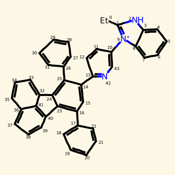 CCc1[nH]c2ccccc2[n+]1-c1ccc(-c2cc(-c3ccccc3)c3c(c2-c2ccccc2)-c2cccc4cccc-3c24)nc1